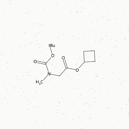 CN(CC(=O)OC1CCC1)C(=O)OC(C)(C)C